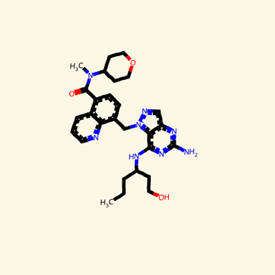 CCCC(CCO)Nc1nc(N)nc2cnn(Cc3ccc(C(=O)N(C)C4CCOCC4)c4cccnc34)c12